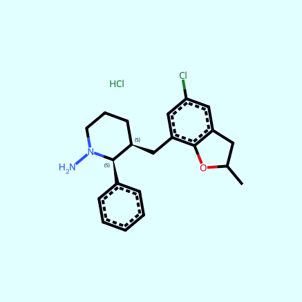 CC1Cc2cc(Cl)cc(C[C@@H]3CCCN(N)[C@@H]3c3ccccc3)c2O1.Cl